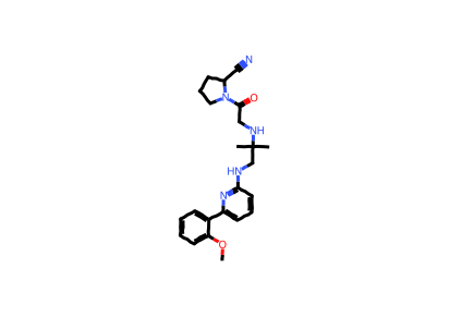 COc1ccccc1-c1cccc(NCC(C)(C)NCC(=O)N2CCCC2C#N)n1